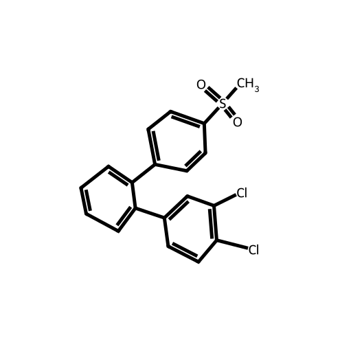 CS(=O)(=O)c1ccc(-c2ccccc2-c2ccc(Cl)c(Cl)c2)cc1